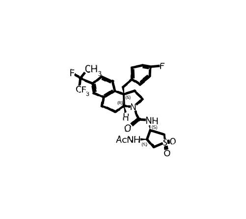 CC(=O)N[C@@H]1CS(=O)(=O)C[C@H]1NC(=O)N1CC[C@@]2(Cc3ccc(F)cc3)c3ccc(C(C)(F)C(F)(F)F)cc3CC[C@@H]12